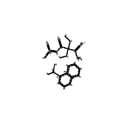 CCC(CC)(C(N)=O)C(=O)N=S(=O)=O.CN(C)c1cccc2ccccc12